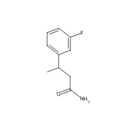 CC(CC(N)=O)c1cccc(F)c1